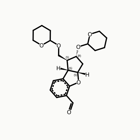 O=Cc1cccc2c1O[C@H]1C[C@@H](OC3CCCCO3)[C@H](COC3CCCCO3)[C@@H]21